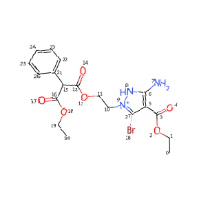 CCOC(=O)c1c(N)[nH][n+](CCOC(=O)C(C(=O)OCC)c2ccccc2)c1Br